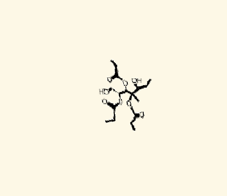 C/C=C(\O)C(C)(OC(=O)CC)[C@@H](OC(=O)CC)[C@@H](CO)OC(=O)CC